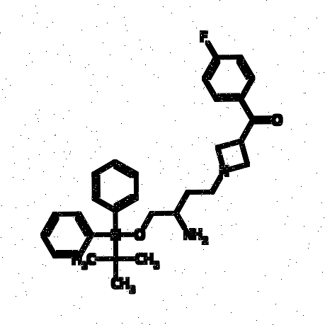 CC(C)(C)[Si](OCC(N)CCN1CC(C(=O)c2ccc(F)cc2)C1)(c1ccccc1)c1ccccc1